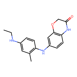 CCNc1ccc(Nc2ccc3c(c2)OCC(=O)N3)c(C)c1